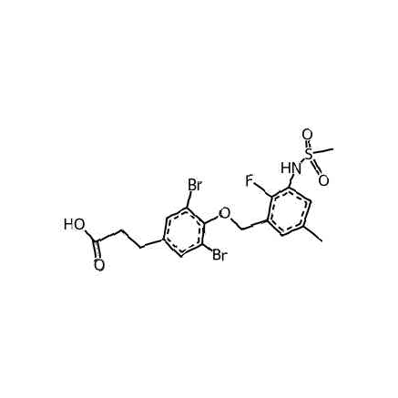 Cc1cc(COc2c(Br)cc(CCC(=O)O)cc2Br)c(F)c(NS(C)(=O)=O)c1